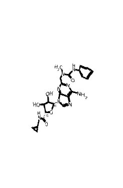 CN(Cc1nc(N)c2ncn([C@@H]3O[C@H](C(=O)NC4CC4)C(O)C3O)c2n1)C(=O)Nc1ccccc1